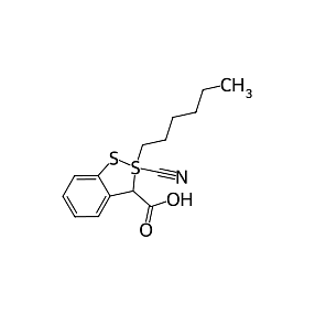 CCCCCCS1(C#N)Sc2ccccc2C1C(=O)O